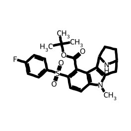 Cn1c2c(c3c(C(=O)OC(C)(C)C)c(S(=O)(=O)c4ccc(F)cc4)ccc31)C1CCC(C2)N1